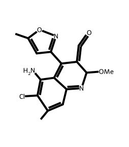 COC1N=c2cc(C)c(Cl)c(N)c2=C(c2cc(C)on2)C1=C=O